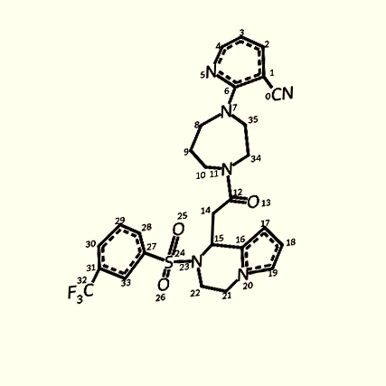 N#Cc1cccnc1N1CCCN(C(=O)CC2c3cccn3CCN2S(=O)(=O)c2cccc(C(F)(F)F)c2)CC1